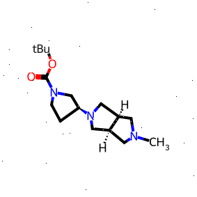 CN1C[C@@H]2CN([C@H]3CCN(C(=O)OC(C)(C)C)C3)C[C@@H]2C1